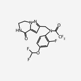 O=C1NCCn2nc(CN(C(=O)C(F)(F)F)c3ccc(OC(F)F)cc3F)cc21